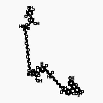 Nc1ccn([C@H]2C[C@@H](O)[C@@H](COP(=O)(O)OCCOCCOCCOCCOCCOCCOP(=O)(O)O[C@@H]3C[C@H](n4cc(/C=C/C(=O)NCCCCCCNC(=O)c5ccc(C(=O)O)c(-c6c7ccc(=O)cc-7oc7cc(O)ccc67)c5)c(=O)[nH]c4=O)O[C@@H]3CO)O2)c(=O)n1